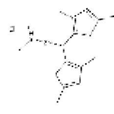 CC1=CC(C)=C([CH]([Zr+][SiH](C)C)C2=C(C)C=C(C)C2)C1.[Cl-]